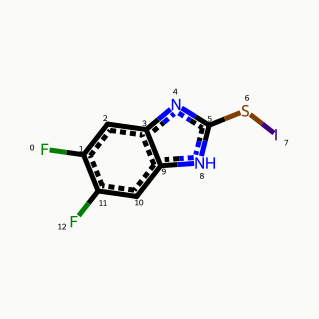 Fc1cc2nc(SI)[nH]c2cc1F